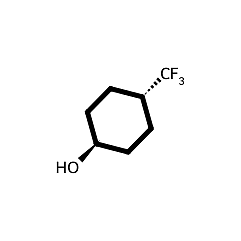 O[C@H]1CC[C@H](C(F)(F)F)CC1